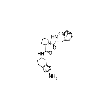 Nc1nc2c(s1)CC(NC(=O)[C@@H]1CCCN1C(=O)[C@@H](Cc1ccccc1)NC(=O)O)CC2